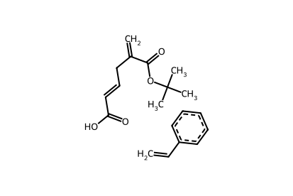 C=C(CC=CC(=O)O)C(=O)OC(C)(C)C.C=Cc1ccccc1